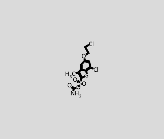 Cc1c(S(=O)(=O)OC(N)=O)sc2c(Cl)cc(OCCCl)cc12